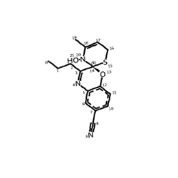 CCCC1=Nc2cc(C#N)ccc2O[C@@]12SCC=C(C)N2O